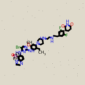 CCc1cc(Nc2ncc(Br)c(Nc3ccc4nccnc4c3P(C)(C)=O)n2)c(OC)cc1N1CCC(NCCNCCc2cc(F)c([C@H]3CCC(=O)NC3=O)c(F)c2)CC1